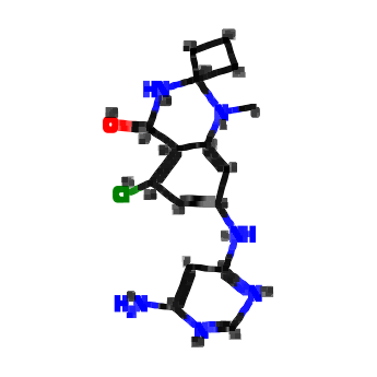 CN1c2cc(Nc3cc(N)ncn3)cc(Cl)c2C(=O)NC12CCC2